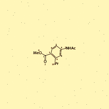 COC(=O)c1ccc(NC(C)=O)cc1C(C)C